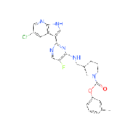 Cc1cccc(OC(=O)N2CCCC(CNc3nc(-c4c[nH]c5ncc(Cl)cc45)ncc3F)C2)c1